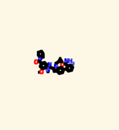 COc1cc(C(=O)N2CC3CCC2C3)cc2nc(-c3cc4ccc(-c5ccccc5C(N)=O)cc4n3CC3CC3)n(C)c12